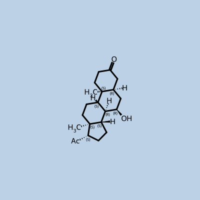 CC(=O)[C@H]1CC[C@H]2[C@@H]3[C@H](O)C[C@@H]4CC(=O)CC[C@]4(C)[C@H]3CC[C@]12C